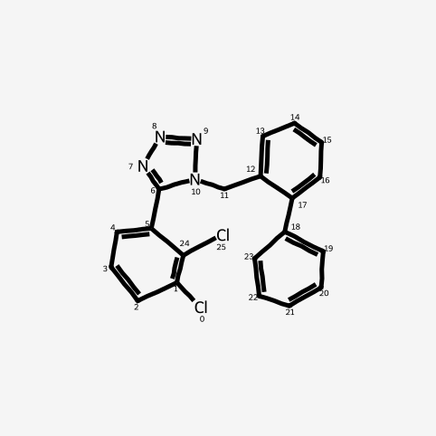 Clc1cccc(-c2nnnn2Cc2ccccc2-c2ccccc2)c1Cl